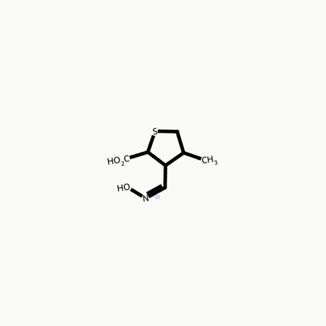 CC1CSC(C(=O)O)C1/C=N\O